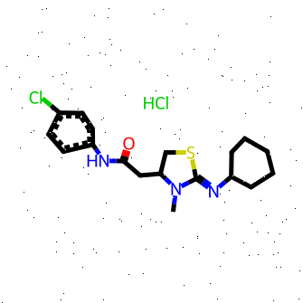 CN1C(=NC2CCCCC2)SCC1CC(=O)Nc1ccc(Cl)cc1.Cl